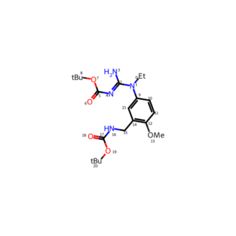 CCN(C(N)=NC(=O)OC(C)(C)C)c1ccc(OC)c(CNC(=O)OC(C)(C)C)c1